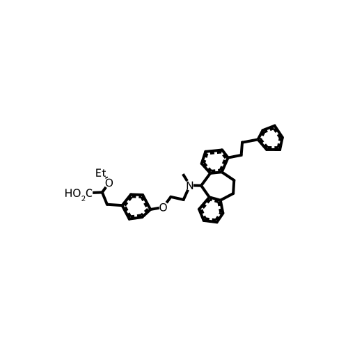 CCOC(Cc1ccc(OCCN(C)C2c3ccccc3CCc3c(CCc4ccccc4)cccc32)cc1)C(=O)O